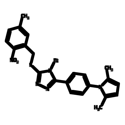 CCn1c(SCc2cc(C)ccc2[N+](=O)[O-])nnc1-c1ccc(-n2c(C)ccc2C)cc1